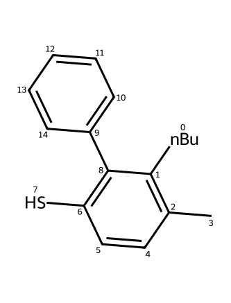 CCCCc1c(C)ccc(S)c1-c1ccccc1